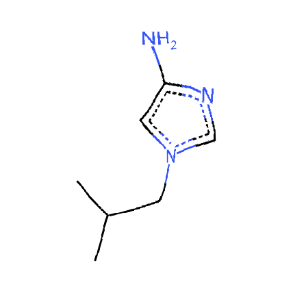 CC(C)Cn1cnc(N)c1